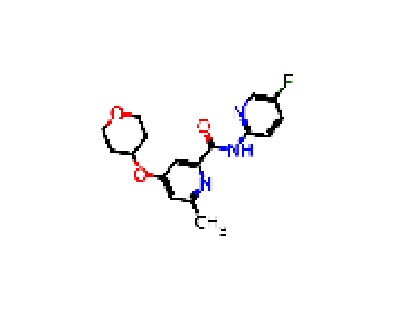 Cc1cc(OC2CCOCC2)cc(C(=O)Nc2ccc(F)cn2)n1